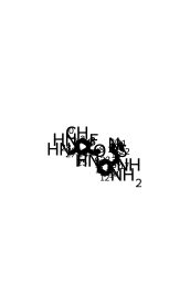 CNc1cc(F)c(C(=O)Nc2ccc(N)c(C(=N)c3cncs3)c2)c(F)c1C=N